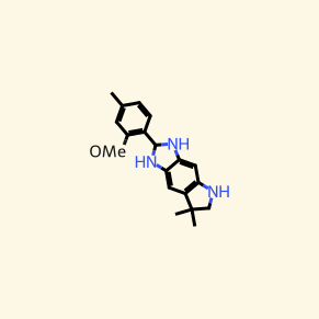 COc1cc(C)ccc1C1Nc2cc3c(cc2N1)C(C)(C)CN3